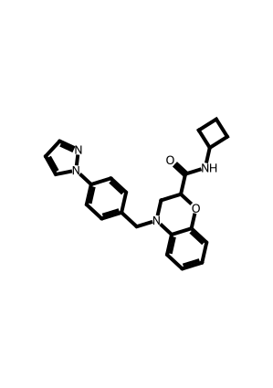 O=C(NC1CCC1)C1CN(Cc2ccc(-n3cccn3)cc2)c2ccccc2O1